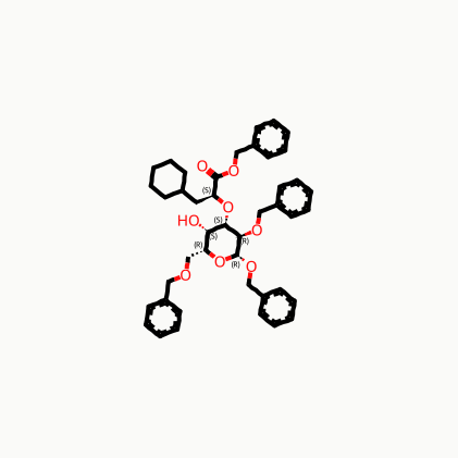 O=C(OCc1ccccc1)[C@H](CC1CCCCC1)O[C@H]1[C@@H](O)[C@@H](COCc2ccccc2)O[C@@H](OCc2ccccc2)[C@@H]1OCc1ccccc1